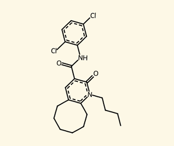 CCCCn1c2c(cc(C(=O)Nc3cc(Cl)ccc3Cl)c1=O)CCCCCC2